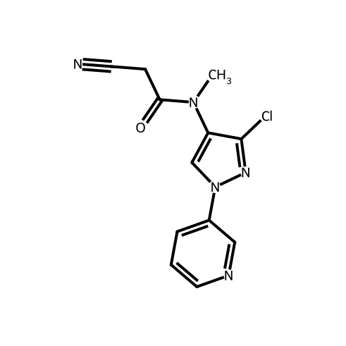 CN(C(=O)CC#N)c1cn(-c2cccnc2)nc1Cl